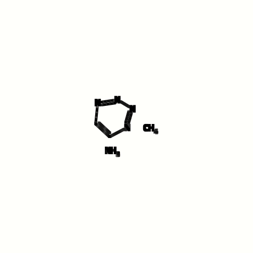 C.N.c1cnnnn1